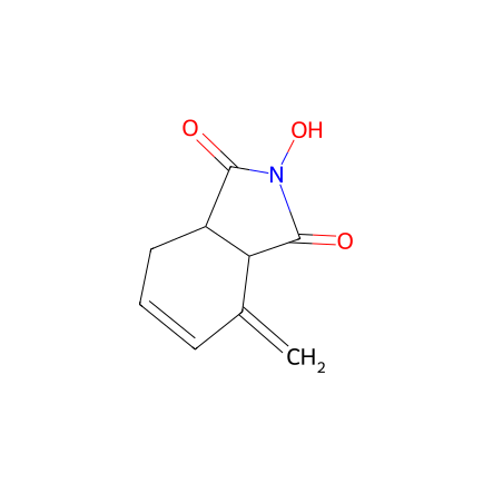 C=C1C=CCC2C(=O)N(O)C(=O)C12